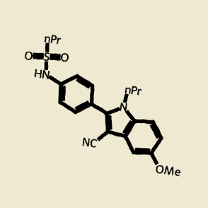 CCCn1c(-c2ccc(NS(=O)(=O)CCC)cc2)c(C#N)c2cc(OC)ccc21